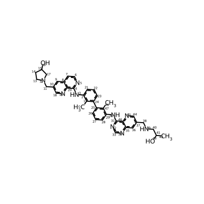 Cc1c(Nc2nccc3cc(CN4CCC(O)C4)cnc23)cccc1-c1cccc(Nc2ncnc3cc(CNCC(C)O)cnc23)c1C